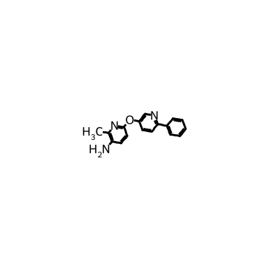 Cc1nc(Oc2ccc(-c3ccccc3)nc2)ccc1N